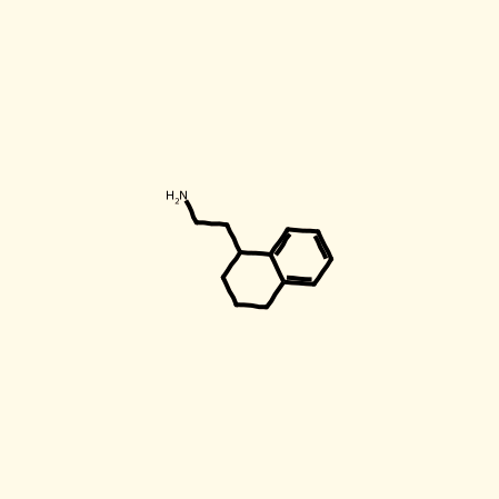 NCCC1CCCc2ccccc21